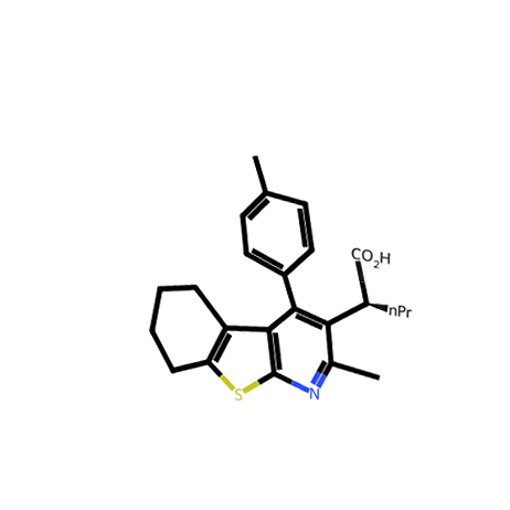 CCC[C@H](C(=O)O)c1c(C)nc2sc3c(c2c1-c1ccc(C)cc1)CCCC3